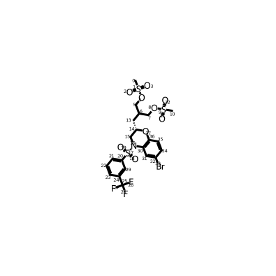 CS(=O)(=O)OCC(COS(C)(=O)=O)C[C@H]1CN(S(=O)(=O)c2cccc(C(F)(F)F)c2)c2cc(Br)ccc2O1